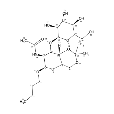 CCCCO[C@@H]1OC2COC(C)(C)O[C@H]2C(O[C@@H]2OC(CO)[C@H](O)C(O)[C@@H]2O)[C@@H]1NC(C)=O